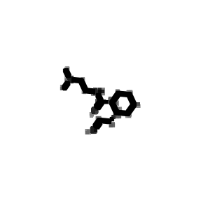 CN(C)CCNC(=O)[C@@H]1CCCC[C@@H]1CC=O